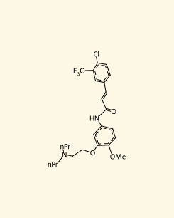 CCCN(CCC)CCOc1cc(NC(=O)/C=C/c2ccc(Cl)c(C(F)(F)F)c2)ccc1OC